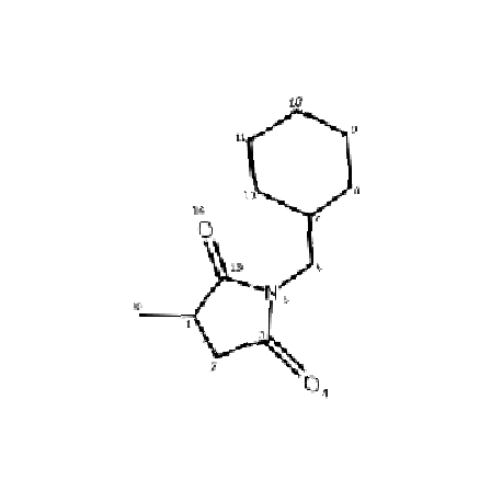 CC1CC(=O)N(CC2CCCCC2)C1=O